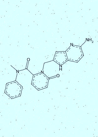 CN(C(=O)c1cccc(=O)n1Cc1cc2nc(N)ccc2[nH]1)c1ccccc1